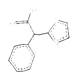 NC(=O)C(c1ccccc1)c1ncc[nH]1